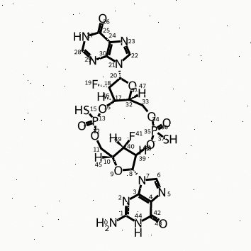 Nc1nc2c(ncn2[C@@H]2O[C@@H]3COP(=O)(S)O[C@H]4[C@H](F)[C@H](n5cnc6c(=O)[nH]cnc65)O[C@@H]4COP(=O)(S)O[C@@H]2[C@H]3F)c(=O)[nH]1